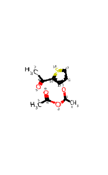 CC(=O)OC(C)=O.CC(=O)c1cccs1